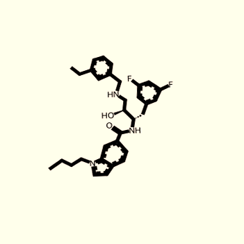 CCCCn1ccc2ccc(C(=O)N[C@@H](Cc3cc(F)cc(F)c3)[C@@H](O)CNCc3cccc(CC)c3)cc21